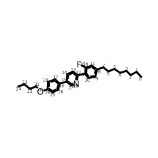 CCCCCCCCc1ccc(-c2ccc(-c3ccc(OCCCC)cc3)cn2)c(F)c1